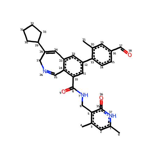 Cc1cc(C)c(CNC(=O)c2cc(-c3ccc(C=O)cc3C)cc3c2C=NCC(C2CCCC2)=C3)c(=O)[nH]1